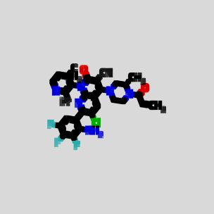 C=CC(=O)N1CCN(c2c(C#N)c(=O)n(-c3c(C)ccnc3C(C)C)c3nc(-c4cc(F)c(F)c(F)c4N)c(Cl)cc23)C[C@H]1C